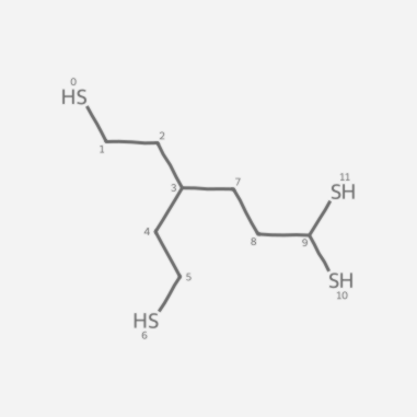 SCCC(CCS)CCC(S)S